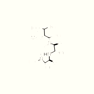 CC[C@H](C)[C@@H]([C@H](OC)C(C(=O)O)C(C)(C)C)N(C)C(=O)[C@@H](NC(=O)[C@H](C(C)C)N(C)C)C(C)C